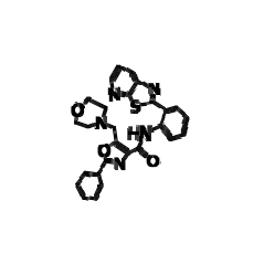 O=C(Nc1ccccc1-c1nc2cccnc2s1)c1nc(-c2ccccc2)oc1CN1CCOCC1